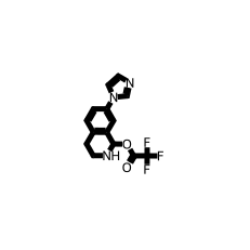 O=C(OC1NCCc2ccc(-n3ccnc3)cc21)C(F)(F)F